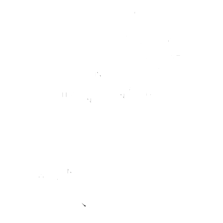 COc1cc2[nH]c(N(C)Cc3cccc(N4C[C@@H](O)CC4=O)c3)nc(=O)c2c(OC)c1OC